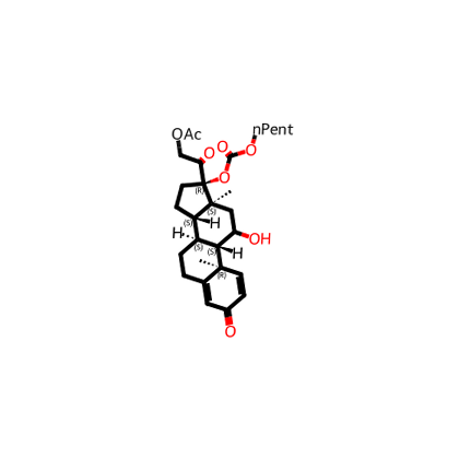 CCCCCOC(=O)O[C@]1(C(=O)COC(C)=O)CC[C@H]2[C@@H]3CCC4=CC(=O)C=C[C@]4(C)[C@H]3C(O)C[C@@]21C